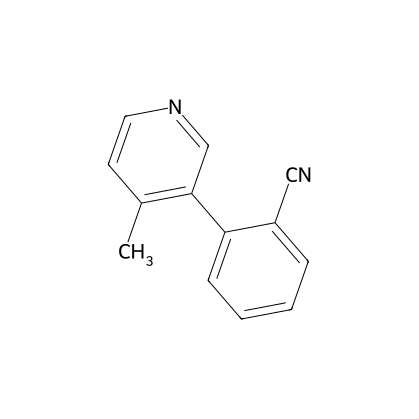 Cc1ccncc1-c1ccccc1C#N